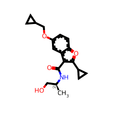 C[C@@H](CO)NC(=O)c1c(C2CC2)oc2ccc(OCC3CC3)cc12